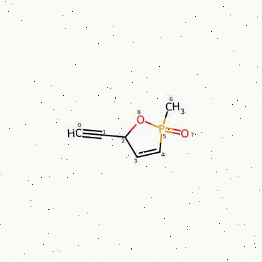 C#CC1C=CP(C)(=O)O1